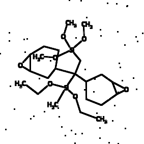 CCO[Si](C)(OCC)C(C[Si](OC)(OC)OC)(C1CCC2OC2C1)C1CCC2OC2C1